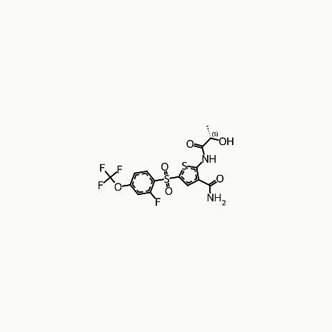 C[C@H](O)C(=O)Nc1sc(S(=O)(=O)c2ccc(OC(F)(F)F)cc2F)cc1C(N)=O